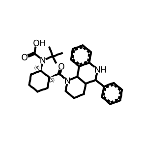 CC(C)(C)N(C(=O)O)[C@@H]1CCCC[C@@H]1C(=O)N1CCCC2C(c3ccccc3)Nc3ccccc3C21